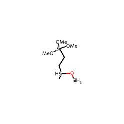 CO[Si](CC[SiH](C)O[SiH3])(OC)OC